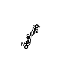 COC(=Nc1cc(C)ccc1C)N1CCC(c2nc(C3=NOC(C#N)(c4ccccc4)C3)cs2)CC1